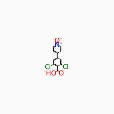 O=C(O)c1c(Cl)cc(-c2cc[n+]([O-])cc2)cc1Cl